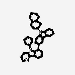 c1ccc(-n2c3cccnc3c3cccc(-c4ccc5c(c4)c4ccccc4n5-c4ccc5ccccc5c4)c32)cc1